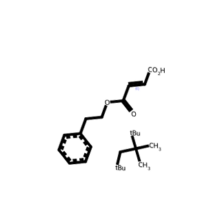 CC(C)(C)CC(C)(C)C(C)(C)C.O=C(O)/C=C/C(=O)OCCc1ccccc1